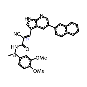 COc1ccc([C@@H](C)NC(=O)/C(C#N)=C/c2c[nH]c3ncc(-c4ccc5ccccc5c4)cc23)cc1OC